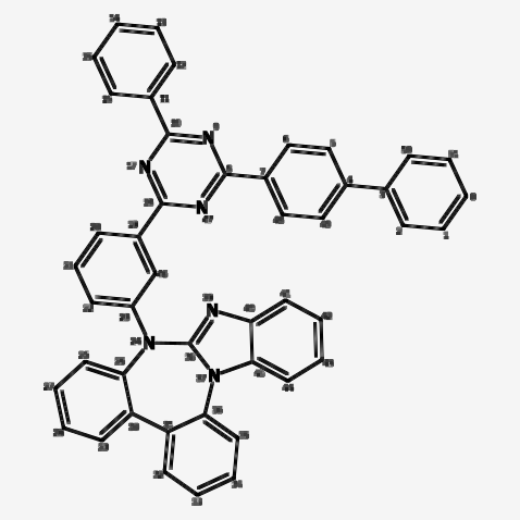 c1ccc(-c2ccc(-c3nc(-c4ccccc4)nc(-c4cccc(N5c6ccccc6-c6ccccc6-n6c5nc5ccccc56)c4)n3)cc2)cc1